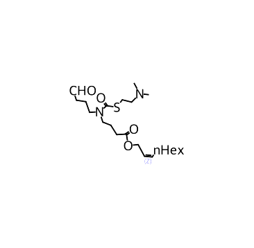 CCCCCC/C=C\COC(=O)CCCN(CCCC=O)C(=O)SCCN(C)C